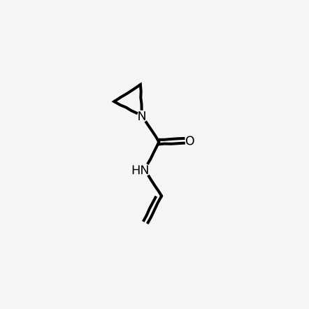 C=CNC(=O)N1CC1